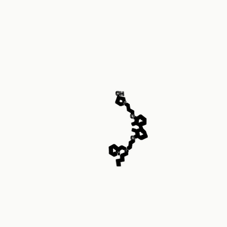 C=C/C=C/CN(CCCOc1cccc(-c2cccc(OCCCN3CC[C@@H](O)C3)c2C)c1C)Cc1ccccn1